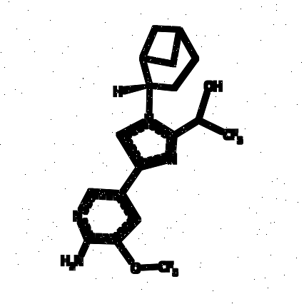 Nc1ncc(-c2cn([C@H]3CCC4CC3C4)c(C(O)C(F)(F)F)n2)cc1OC(F)(F)F